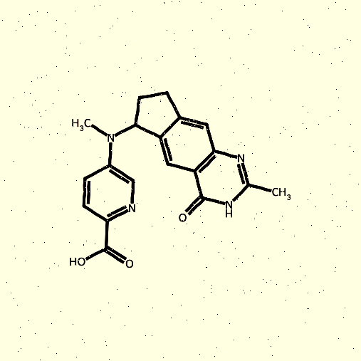 Cc1nc2cc3c(cc2c(=O)[nH]1)C(N(C)c1ccc(C(=O)O)nc1)CC3